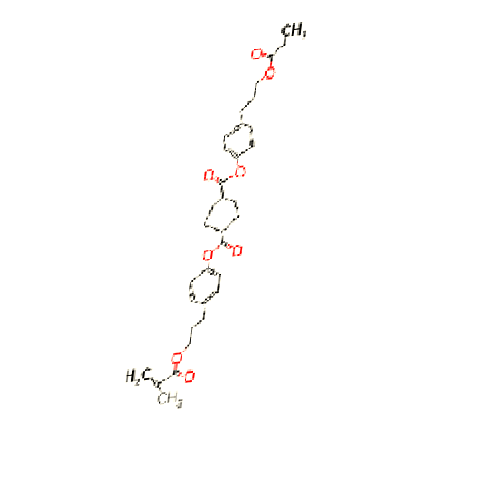 C=C(C)C(=O)OCCCc1ccc(OC(=O)C2CCC(C(=O)Oc3ccc(CCCOC(=O)CC)cc3)CC2)cc1